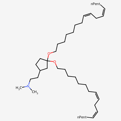 CCCCC/C=C\C/C=C\CCCCCCCOC1(OCCCCCCC/C=C\C/C=C\CCCCC)CCC(CCN(C)C)C1